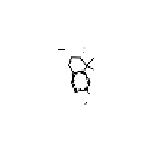 COc1ccc2c(c1)C(C)(C)[C@@H](N)[C@@H](SC)C2